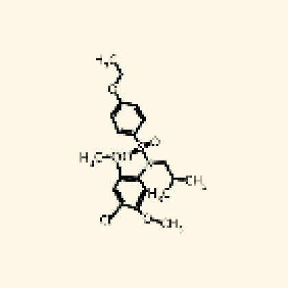 CCOc1ccc(S(=O)(=O)N(CC(C)C)c2cc(OC)c(Cl)cc2OC)cc1